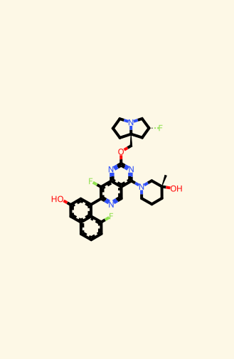 C[C@@]1(O)CCCN(c2nc(OC[C@@]34CCCN3C[C@H](F)C4)nc3c(F)c(-c4cc(O)cc5cccc(F)c45)ncc23)C1